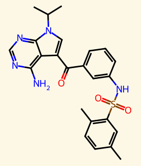 Cc1ccc(C)c(S(=O)(=O)Nc2cccc(C(=O)c3cn(C(C)C)c4ncnc(N)c34)c2)c1